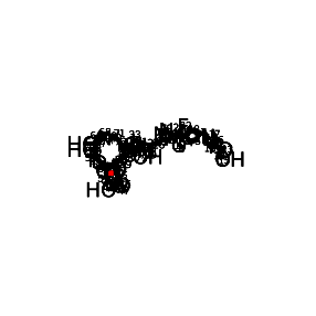 CO[C@H](c1ccc(CN2CCN(C(=O)CO)CC2)cc1)[C@@H](CF)n1cc(CCN(C)[C@H]2C[C@@H](C)O[C@@H](O[C@@H]3[C@@H](C)[C@H](O[C@H]4C[C@@](C)(OC)[C@@H](O)[C@H](C)O4)[C@@H](C)C(=O)O[C@H](I)[C@@](C)(O)[C@H](O)[C@@H](C)N(C)C[C@H](C)C[C@@]3(C)O)[C@@H]2O)nn1